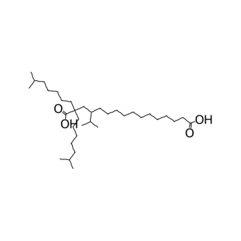 CC(C)CCCCCC(CCCCCC(C)C)(CC(CCCCCCCCCCCC(=O)O)C(C)C)C(=O)O